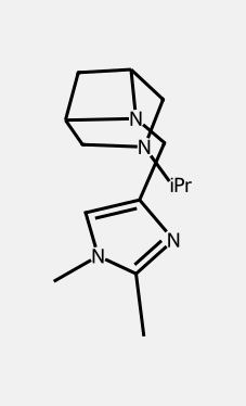 Cc1nc(CN2C3CC2CN(C(C)C)C3)cn1C